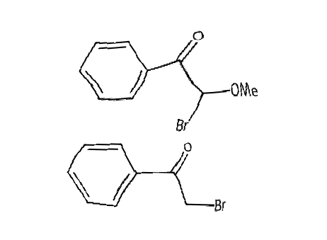 COC(Br)C(=O)c1ccccc1.O=C(CBr)c1ccccc1